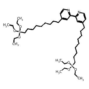 CCO[Si](CCCCCCCCCc1ccnc(-c2cc(CCCCCCCCC[Si](OCC)(OCC)OCC)ccn2)c1)(OCC)OCC